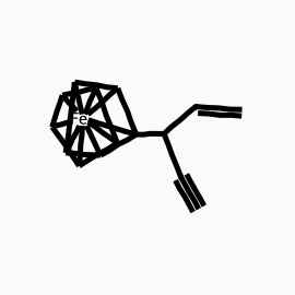 C#CC(C=C)[C]12[CH]3[CH]4[CH]5[CH]1[Fe]45321678[CH]2[CH]1[CH]6[CH]7[CH]28